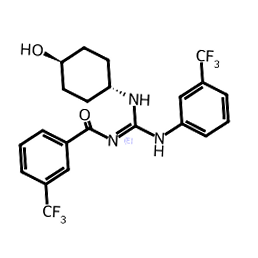 O=C(/N=C(/Nc1cccc(C(F)(F)F)c1)N[C@H]1CC[C@H](O)CC1)c1cccc(C(F)(F)F)c1